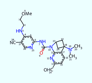 COCCNc1cc(NC(=O)N2c3nc(C=O)ccc3C3(N(C)C)CC2C3)ncc1C#N